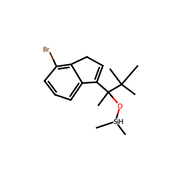 C[SiH](C)OC(C)(C1=CCc2c(Br)cccc21)C(C)(C)C